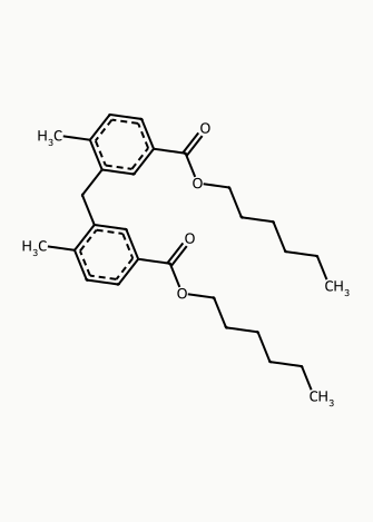 CCCCCCOC(=O)c1ccc(C)c(Cc2cc(C(=O)OCCCCCC)ccc2C)c1